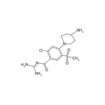 CS(=O)(=O)c1cc(C(=O)N=C(N)N)c(Cl)cc1N1CCC(N)CC1